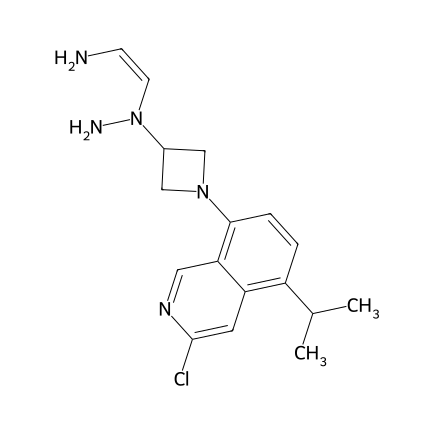 CC(C)c1ccc(N2CC(N(N)/C=C\N)C2)c2cnc(Cl)cc12